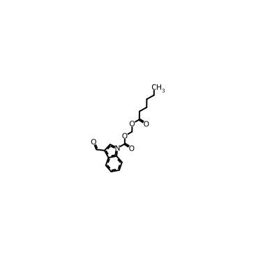 CCCCCC(=O)OCOC(=O)n1cc(C=O)c2ccccc21